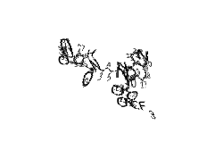 O=C(NCCCn1nc2c(c1C(=O)OC(=O)C(F)(F)F)CCc1cnccc1-2)c1ccc2c(c1)OCO2